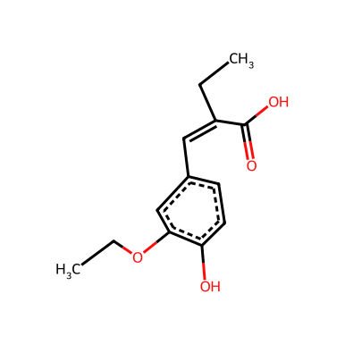 CCOc1cc(C=C(CC)C(=O)O)ccc1O